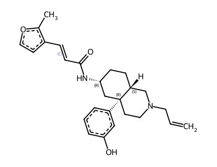 C=CCN1CC[C@@]2(c3cccc(O)c3)C[C@H](NC(=O)/C=C/c3ccoc3C)CC[C@@H]2C1